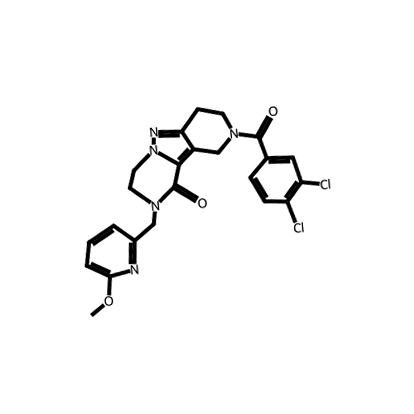 COc1cccc(CN2CCn3nc4c(c3C2=O)CN(C(=O)c2ccc(Cl)c(Cl)c2)CC4)n1